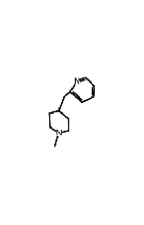 CN1CCC(Cc2ccccn2)CC1